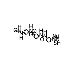 O=CNNc1ccc(NS(=O)(=O)c2cccc(NC(=O)Nc3cccc(-n4nnnc4S)c3)c2)cc1